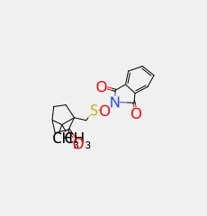 CC1(C)C2CCC1(CSON1C(=O)c3ccccc3C1=O)C(=O)C2